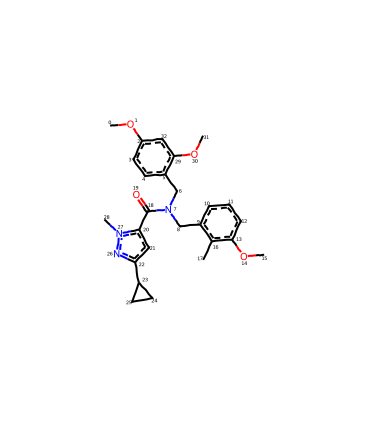 COc1ccc(CN(Cc2cccc(OC)c2C)C(=O)c2cc(C3CC3)nn2C)c(OC)c1